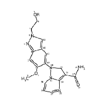 COc1cc2nn(CCO)cc2cc1N1CC(C(N)=O)=C2N=CC=CN21